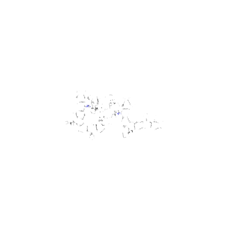 CCn1c2ccc(C(=O)c3c(C)cc(C)cc3C)cc2c2cc(/C(=N\OC)c3ccccc3OCC(F)(F)CCC(F)(F)COc3ccccc3/C(=N/OC)c3ccc4c(c3)c3cc(C(=O)c5c(C)cc(C)cc5C)ccc3n4CC)ccc21